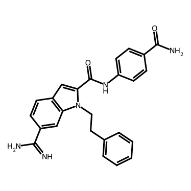 N=C(N)c1ccc2cc(C(=O)Nc3ccc(C(N)=O)cc3)n(CCc3ccccc3)c2c1